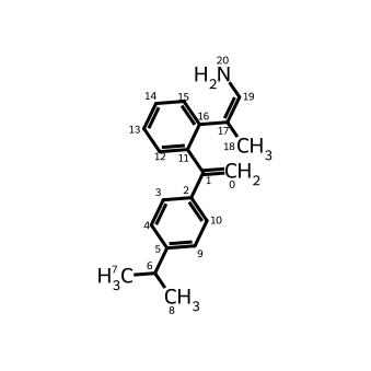 C=C(c1ccc(C(C)C)cc1)c1ccccc1/C(C)=C\N